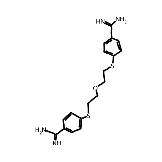 N=C(N)c1ccc(SCCOCCSc2ccc(C(=N)N)cc2)cc1